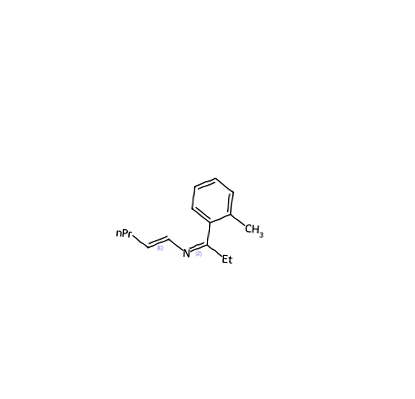 CCC/C=C/N=C(/CC)c1ccccc1C